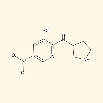 Cl.O=[N+]([O-])c1ccc(NC2CCNC2)nc1